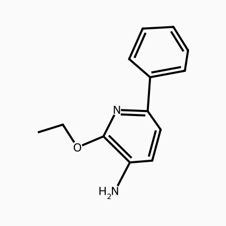 CCOc1nc(-c2ccccc2)ccc1N